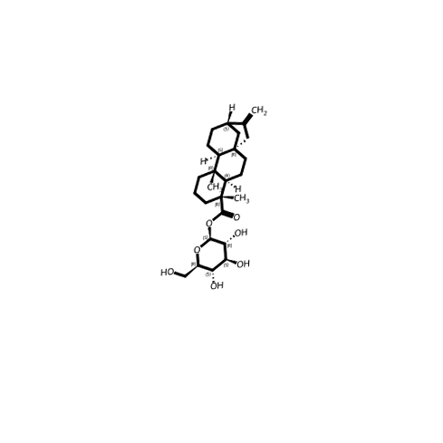 C=C1C[C@]23CC[C@@H]4[C@](C)(CCC[C@@]4(C)C(=O)O[C@@H]4O[C@H](CO)[C@@H](O)[C@H](O)[C@H]4O)[C@H]2CC[C@H]1C3